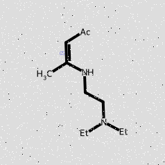 CCN(CC)CCN/C(C)=C\C(C)=O